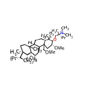 COC[C@]12C[C@@H](OC)[C@H](OC[C@](C)(C(C)C)N(C)C)C(C)(C)[C@@H]1CC[C@H]1C2=CC[C@@]2(C)[C@H](C(=O)O)[C@@](C)([C@H](C)C(C)C)CC[C@]12C